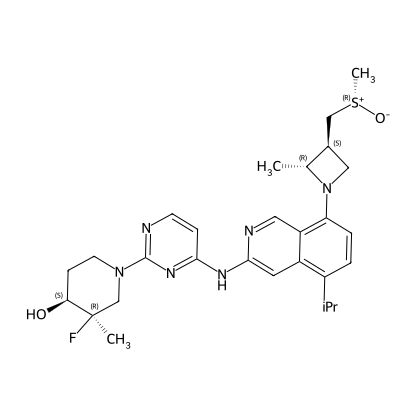 CC(C)c1ccc(N2C[C@H](C[S@+](C)[O-])[C@H]2C)c2cnc(Nc3ccnc(N4CC[C@H](O)[C@](C)(F)C4)n3)cc12